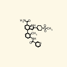 Cc1c(NC(=O)c2cccnc2)cccc1-c1ccc(C(N)=O)c2[nH]c(C3=CCN(S(C)(=O)=O)CC3)cc12